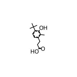 Cc1c(CCC(=O)O)ccc(C(C)(C)C)c1O